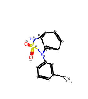 Cc1cccc(N2c3ccccc3NS2(=O)=O)c1